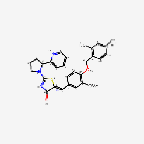 COc1cc(/C=C2\SC(N3CCCC3c3ccccn3)=NC2=O)ccc1OCc1ccc(C(F)(F)F)cc1C(F)(F)F